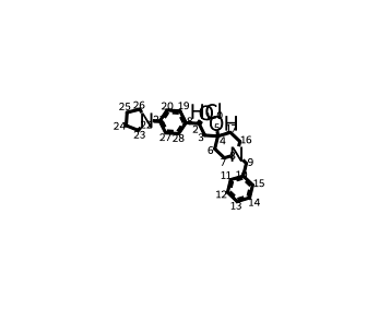 Cl.O=C(CC1(O)CCN(Cc2ccccc2)CC1)c1ccc(N2CCCC2)cc1